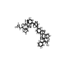 CN(C)CC(=O)N1CCC[C@H]1c1nc2c(-c3ncc(-c4ccc5[nH]c([C@@H]6CCCN6C(=O)C(c6ccccc6)N(C)C)nc5c4)o3)cccc2[nH]1